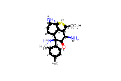 CCc1ccc(C2(N)C(=O)C(N)c3c(C(=O)O)sc4c(N)ccc2c34)c(C)c1